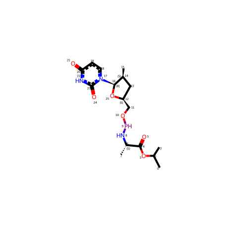 CC(C)OC(=O)[C@H](C)NPOC[C@@H]1C[C@H](C)[C@H](n2ccc(=O)[nH]c2=O)O1